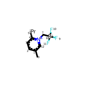 Cc1ccc(C(C)C)[n+](C[B-](F)(F)F)c1